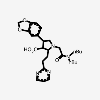 CCCCN(CCCC)C(=O)CN1CC(c2ccc3c(c2)OCO3)C(C(=O)O)C1CCc1ncccn1